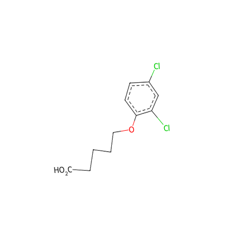 O=C(O)CCCCOc1ccc(Cl)cc1Cl